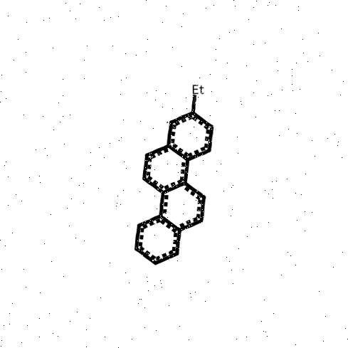 CCc1[c]c2ccc3c4ccccc4ccc3c2cc1